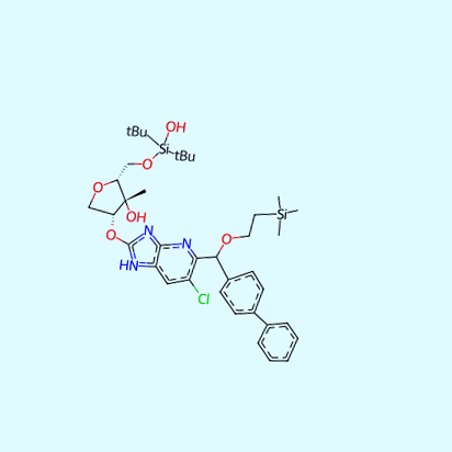 CC(C)(C)[Si](O)(OC[C@H]1OC[C@@H](Oc2nc3nc(C(OCC[Si](C)(C)C)c4ccc(-c5ccccc5)cc4)c(Cl)cc3[nH]2)[C@@]1(C)O)C(C)(C)C